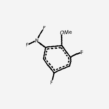 COc1c(F)cc(F)cc1N(F)F